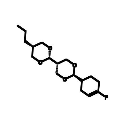 CCC[C@H]1CO[C@H]([C@H]2CO[C@H](C3CC=C(F)CC3)OC2)OC1